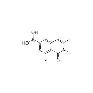 Cc1cc2cc(B(O)O)cc(F)c2c(=O)n1C